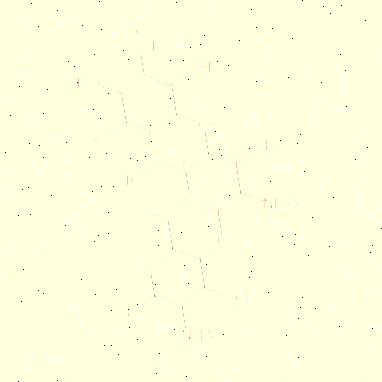 CCC1OC(OC2C(CO)OC(OC3C(CO)OC(C)C(NC(C)=O)C3O)C(NC(C)=O)C2O)C(O)C(C)C1O